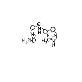 C[C@H]1CN(Cc2cccc(-c3cc(CNC(=O)c4cccc(CN5CCC6(CCCN6C)C5)c4)ccc3F)c2)CCN1